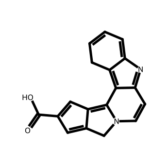 O=C(O)C1=CC2=c3c4c5c(nc-4ccn3CC2=C1)=CC=CC5